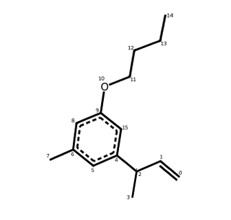 C=C[C](C)c1cc(C)cc(OCCCC)c1